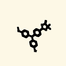 C=C1OB(c2ccc(N(c3ccc(Br)cc3)c3ccc(OC)cc3)cc2)OC1(C)C